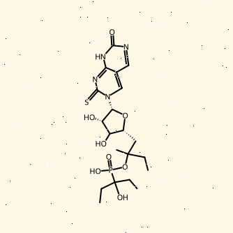 CCC(C)(C[C@H]1O[C@@H](n2cc3cnc(=O)[nH]c3nc2=S)[C@@H](O)C1O)OP(=O)(O)C(O)(CC)CC